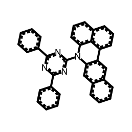 c1ccc(-c2nc(-c3ccccc3)nc(N3c4cc5ccccc5cc4-c4cccc5cccc3c45)n2)cc1